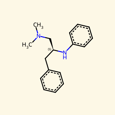 CN(C)C[C@H](Cc1ccccc1)Nc1ccccc1